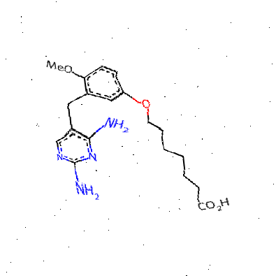 COc1ccc(OCCCCCCC(=O)O)cc1Cc1cnc(N)nc1N